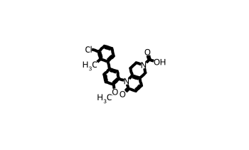 COc1ccc(-c2cccc(Cl)c2C)cc1-n1c2c(ccc1=O)CN(C(=O)O)CC2